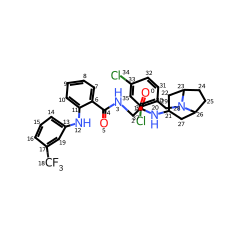 O=C(CNC(=O)c1ccccc1Nc1cccc(C(F)(F)F)c1)NC1CC2CCC(C1)N2Cc1ccc(Cl)cc1Cl